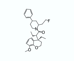 CC[C@@H](C(=O)N1CCC(c2ccccc2)CC1CCF)[C@]1(CC)CCOc2c(OC)cccc21